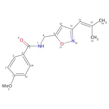 COc1ccc(C(=O)NCc2cc(C=C(C)C)no2)cc1